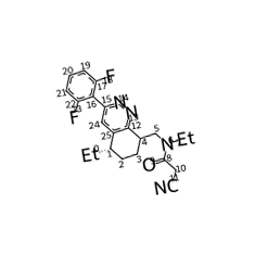 CC[C@H]1CCC(CN(CC)C(=O)CC#N)c2nnc(-c3c(F)cccc3F)cc21